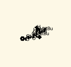 CC(C)(C)NC(=O)N[C@H](C(=O)N1C[C@H]2[C@@H](C1C(=O)NC(CC1CCC1)C(=O)C(=O)NCC(=O)OC(C)(C)c1ccccc1)C2(C)C)C(C)(C)C